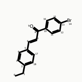 CCc1ccc(C=CC(=O)c2ccc(Br)cc2)cc1